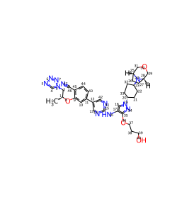 C[C@@H](Cn1cnnn1)Oc1cc(-c2cnc(Nc3cn([C@H]4CC[C@H](N5[C@@H]6CC[C@H]5COC6)CC4)nc3OCCCO)nc2)ccc1C#N